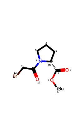 CC(C)(C)OC(=O)[C@H]1CCCN1C(=O)CBr